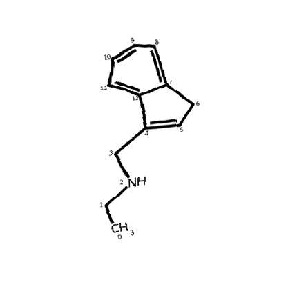 CCNCC1=CCc2ccccc21